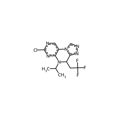 CC(C)N1c2nc(Cl)ncc2-n2cnnc2C1CC(F)(F)F